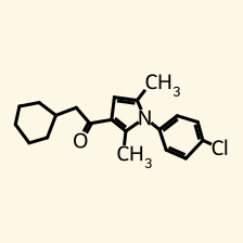 Cc1cc(C(=O)CC2CCCCC2)c(C)n1-c1ccc(Cl)cc1